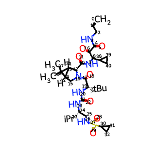 C=CCNC(=O)C(=O)C(NC(=O)[C@@H]1[C@@H]2[C@H](CN1C(=O)[C@@H](NC(=O)N[C@H](CNS(=O)(=O)C1CC1)C(C)C)C(C)(C)C)C2(C)C)C1CC1